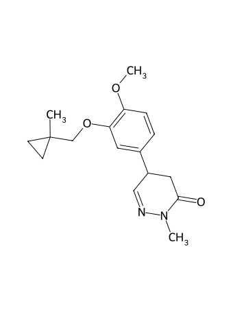 COc1ccc(C2C=NN(C)C(=O)C2)cc1OCC1(C)CC1